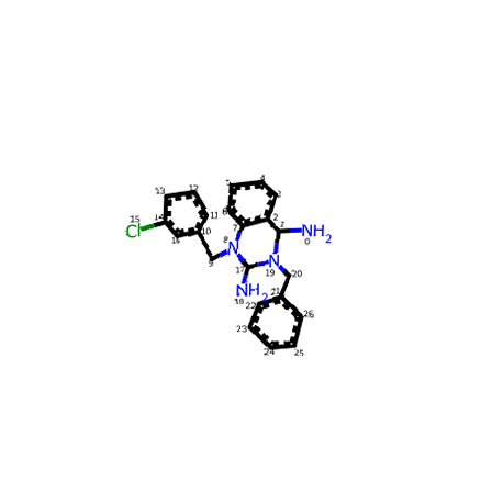 NC1c2ccccc2N(Cc2cccc(Cl)c2)C(N)N1Cc1ccccc1